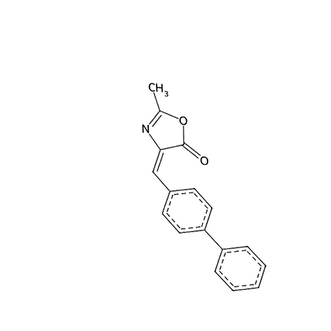 CC1=NC(=Cc2ccc(-c3ccccc3)cc2)C(=O)O1